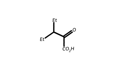 CCC(CC)C(=O)C(=O)O